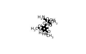 CNC(=O)c1c(I)c(NC(C)=O)c(I)c(C(=O)N[C@](CCCN)(C(C)=O)C(=O)O)c1I